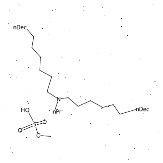 CCCCCCCCCCCCCCCCN(CCC)CCCCCCCCCCCCCCCC.COS(=O)(=O)O